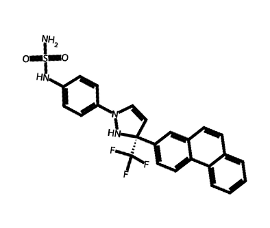 NS(=O)(=O)Nc1ccc(N2C=C[C@](c3ccc4c(ccc5ccccc54)c3)(C(F)(F)F)N2)cc1